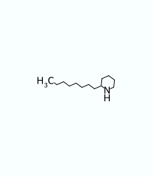 CCCCCCCCC1CCCCN1